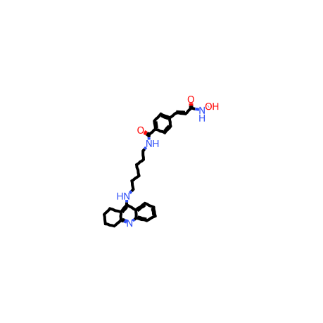 O=C(C=Cc1ccc(C(=O)NCCCCCCNc2c3c(nc4ccccc24)CCCC3)cc1)NO